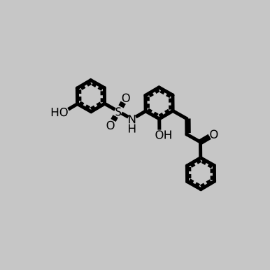 O=C(C=Cc1cccc(NS(=O)(=O)c2cccc(O)c2)c1O)c1ccccc1